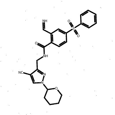 N#Cc1cn(C2CCCCO2)nc1CNC(=O)c1ccc(S(=O)(=O)c2ccccc2)cc1C=N